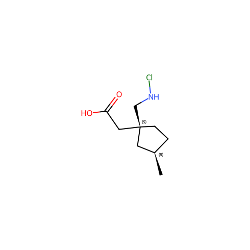 C[C@@H]1CC[C@@](CNCl)(CC(=O)O)C1